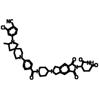 CC1CC2(CCN(c3ccc(C(=O)N4CCC(N5Cc6cc7c(cc6C5)C(=O)N(C5CCC(=O)NC5=O)C7=O)CC4)cc3)CC2)CN1c1ccc(C#N)c(Cl)c1